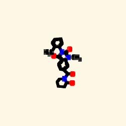 Cc1ccccc1-n1c(=O)c2ccc(C(=O)N3CCCCC3=O)cc2n(C)c1=O